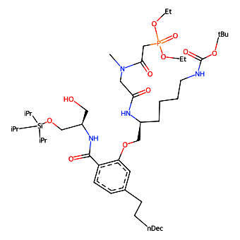 CCCCCCCCCCCCc1ccc(C(=O)N[C@H](CO)CO[Si](C(C)C)(C(C)C)C(C)C)c(OC[C@H](CCCCNC(=O)OC(C)(C)C)NC(=O)CN(C)C(=O)CP(=O)(OCC)OCC)c1